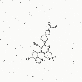 C=CC(=O)N1CC2(CCN(c3nc4c(c(-c5ccc(Cl)c6ccn(C)c56)c3C#N)COC(C)(C)C4)C2)C1